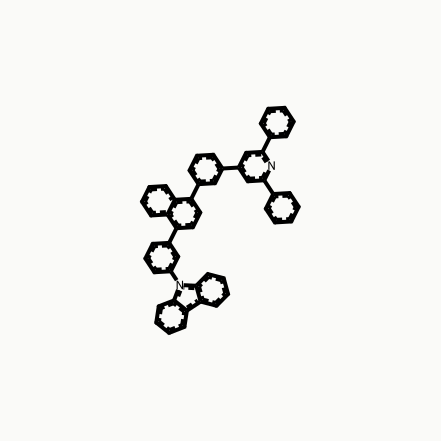 c1ccc(-c2cc(-c3cccc(-c4ccc(-c5cccc(-n6c7ccccc7c7ccccc76)c5)c5ccccc45)c3)cc(-c3ccccc3)n2)cc1